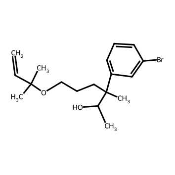 C=CC(C)(C)OCCCC(C)(c1cccc(Br)c1)C(C)O